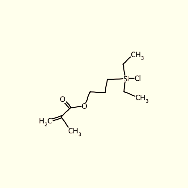 C=C(C)C(=O)OCCC[Si](Cl)(CC)CC